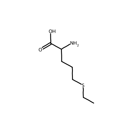 CCSCCCC(N)C(=O)O